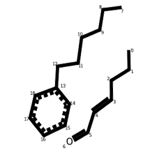 CCCC=CC=O.CCCCCCc1ccccc1